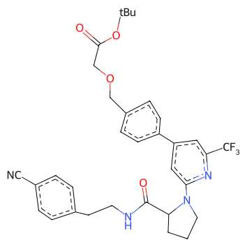 CC(C)(C)OC(=O)COCc1ccc(-c2cc(N3CCCC3C(=O)NCCc3ccc(C#N)cc3)nc(C(F)(F)F)c2)cc1